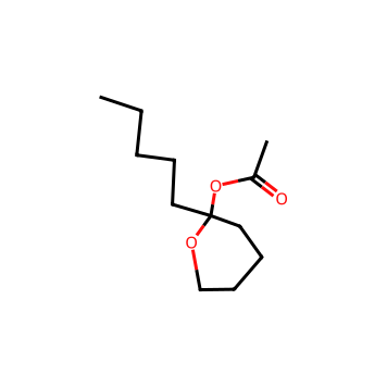 CCCCCC1(OC(C)=O)CCCCO1